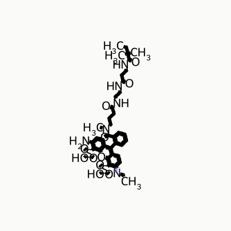 CC/N=c1\ccc2c(-c3ccccc3C(=O)N(C)CCCC(=O)NCCNC(=O)CCNC(=O)C(C)(C)CC)c3ccc(N)c(S(=O)(=O)O)c3oc-2c1S(=O)(=O)O